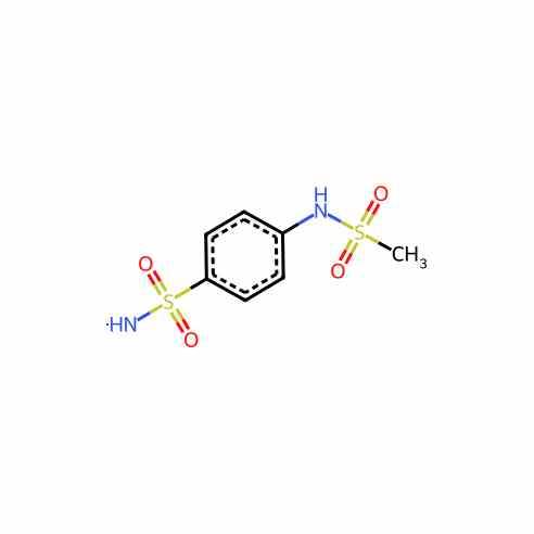 CS(=O)(=O)Nc1ccc(S([NH])(=O)=O)cc1